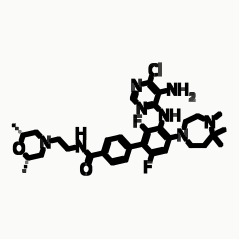 C[C@@H]1CN(CCNC(=O)c2ccc(-c3c(F)cc(N4CCN(C)C(C)(C)CC4)c(Nc4ncnc(Cl)c4N)c3F)cc2)C[C@H](C)O1